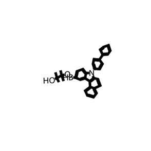 CC(C)(O)C(C)(C)OBc1ccc2c(c1)c1c3ccccc3ccc1n2-c1ccc(-c2ccccc2)cc1